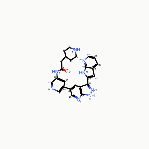 O=C(CC1CCNCC1)Nc1cncc(-c2cnc3[nH]nc(-c4cc5cccnc5[nH]4)c3c2)c1